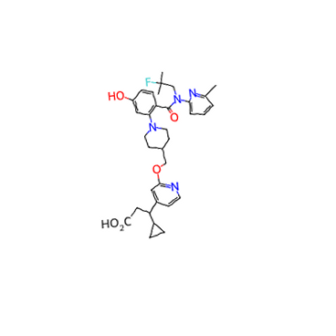 Cc1cccc(N(CC(C)(C)F)C(=O)c2ccc(O)cc2N2CCC(COc3cc(C(CC(=O)O)C4CC4)ccn3)CC2)n1